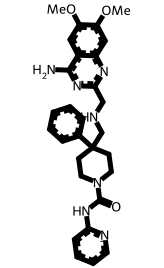 COc1cc2nc(CNCC3(c4ccccc4)CCN(C(=O)Nc4ccccn4)CC3)nc(N)c2cc1OC